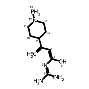 C=C(/C=C(/O)N=C(N)N)C1CCN(P)CC1